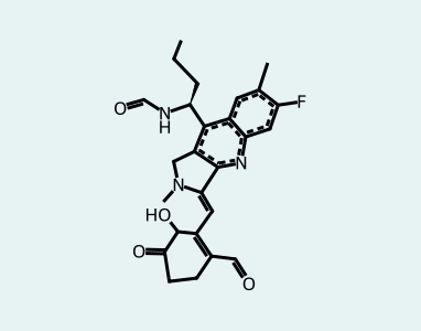 CCC[C@H](NC=O)c1c2c(nc3cc(F)c(C)cc13)/C(=C/C1=C(C=O)CCC(=O)C1O)N(C)C2